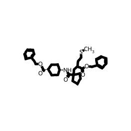 CSCCC(CC1(C(=O)N[C@H]2CC[C@@H](C(=O)OCc3ccccc3)CC2)CCCC1)C(=O)OCc1ccccc1